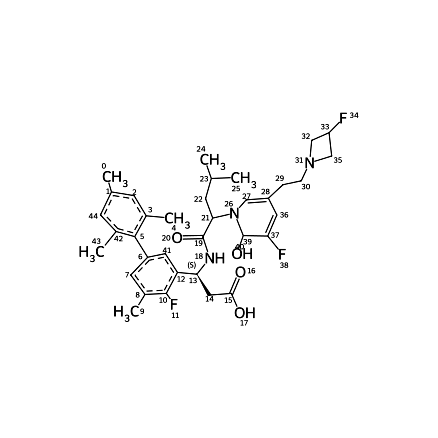 Cc1cc(C)c(-c2cc(C)c(F)c([C@H](CC(=O)O)NC(=O)C(CC(C)C)N3C=C(CCN4CC(F)C4)C=C(F)C3O)c2)c(C)c1